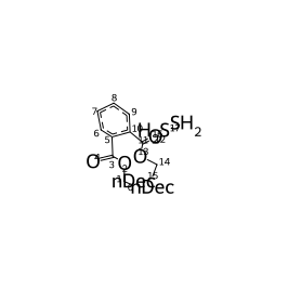 CCCCCCCCCCCOC(=O)c1ccccc1C(=O)OCCCCCCCCCCC.S.S